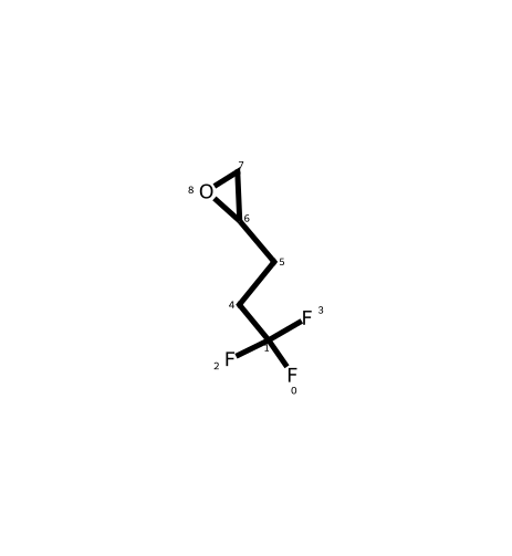 FC(F)(F)CCC1CO1